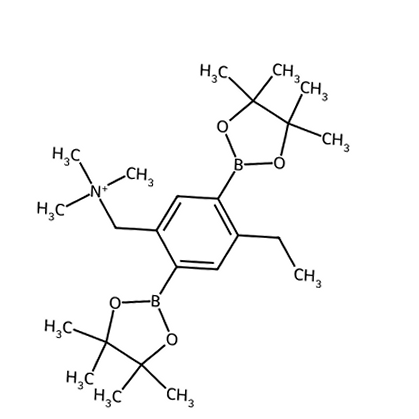 CCc1cc(B2OC(C)(C)C(C)(C)O2)c(C[N+](C)(C)C)cc1B1OC(C)(C)C(C)(C)O1